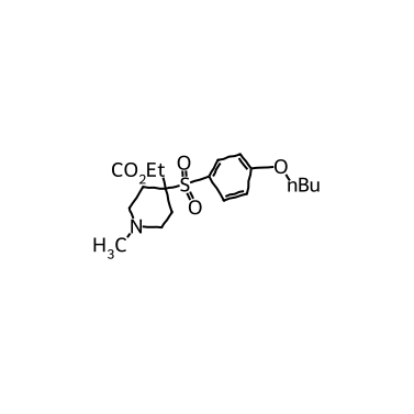 CCCCOc1ccc(S(=O)(=O)C2(C(=O)OCC)CCN(C)CC2)cc1